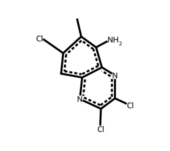 Cc1c(Cl)cc2nc(Cl)c(Cl)nc2c1N